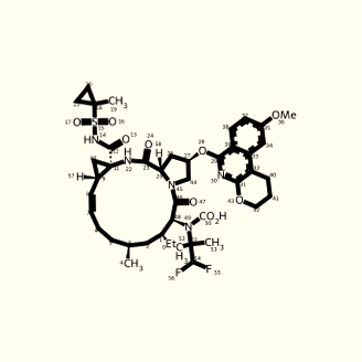 CC[C@@H]1C[C@@H](C)CC/C=C\[C@@H]2C[C@@]2(C(=O)NS(=O)(=O)C2(C)CC2)NC(=O)[C@@H]2C[C@@H](Oc3nc4c(c5cc(OC)ccc35)CCCO4)CN2C(=O)[C@H]1N(C(=O)O)C(C)(C)C(F)F